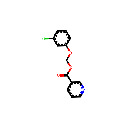 O=C(OCOc1cccc(Cl)c1)c1cccnc1